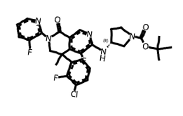 CC(C)(C)OC(=O)N1CC[C@@H](Nc2ncc3c(c2F)C(C)(c2cccc(Cl)c2F)CN(c2ncccc2F)C3=O)C1